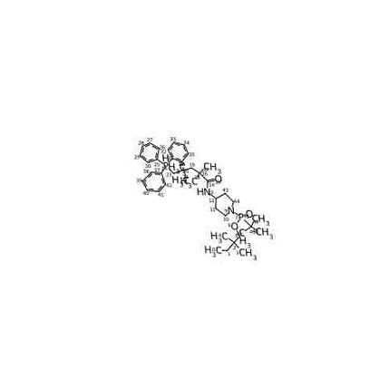 CCC(C)(C)COP(=O)(N1CCC(NC(=O)C(C)(C)CC(C)(C)C[PH](c2ccccc2)(c2ccccc2)c2ccccc2)CC1)C(C)(C)C